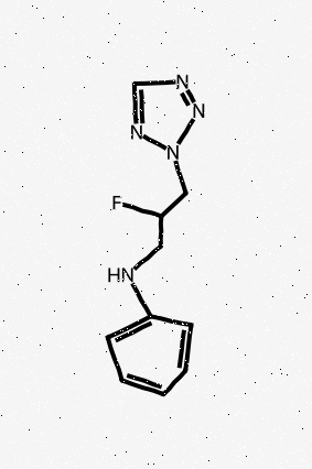 FC(CNc1ccccc1)Cn1ncnn1